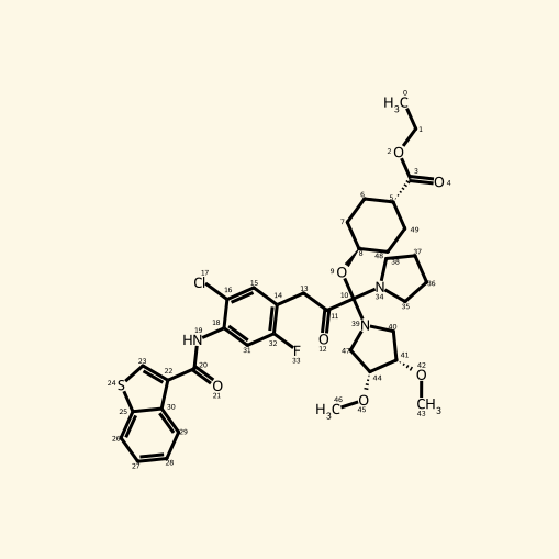 CCOC(=O)[C@H]1CC[C@H](OC(C(=O)Cc2cc(Cl)c(NC(=O)c3csc4ccccc34)cc2F)(N2CCCC2)N2C[C@H](OC)[C@H](OC)C2)CC1